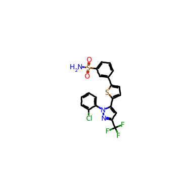 NS(=O)(=O)c1cccc(-c2ccc(-c3cc(C(F)(F)F)nn3-c3ccccc3Cl)s2)c1